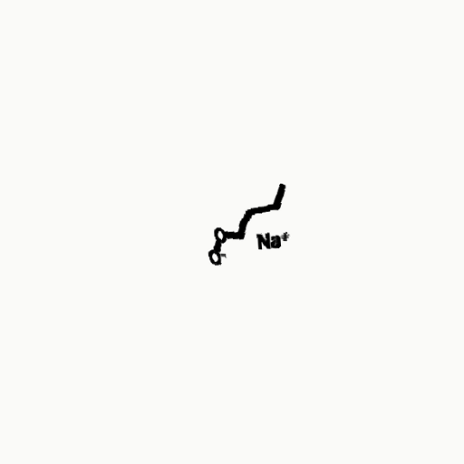 CCCCO[O-].[Na+]